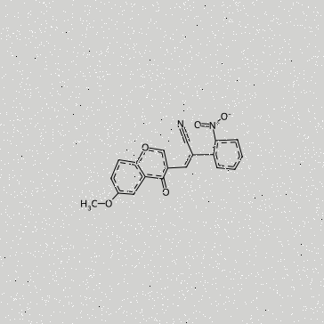 COc1ccc2occ(/C=C(\C#N)c3ccccc3[N+](=O)[O-])c(=O)c2c1